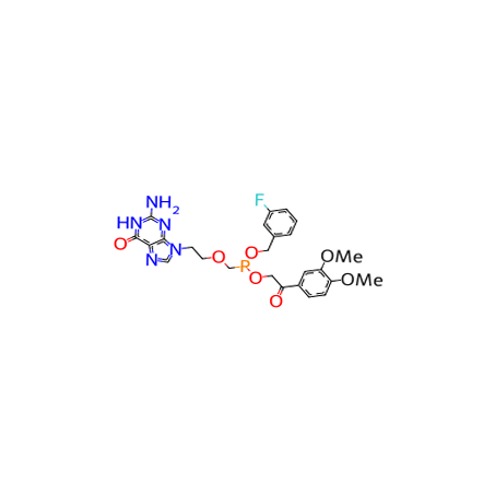 COc1ccc(C(=O)COP(COCCn2cnc3c(=O)[nH]c(N)nc32)OCc2cccc(F)c2)cc1OC